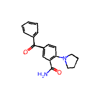 NC(=O)c1cc(C(=O)c2ccccc2)ccc1N1CCCC1